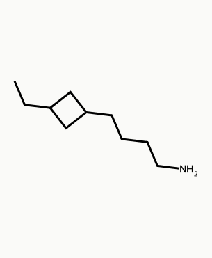 CCC1CC(CCCCN)C1